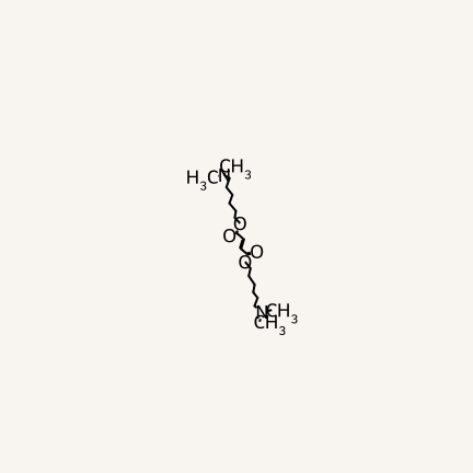 CN(C)CCCCCCOC(=O)/C=C/C(=O)OCCCCCCN(C)C